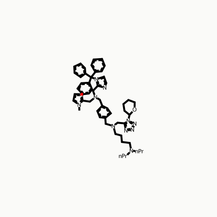 CCCN(CCC)CCCCN(Cc1ccc(CN(Cc2nccn2C)Cc2nccn2C(c2ccccc2)(c2ccccc2)c2ccccc2)cc1)Cc1nnnn1C1CCCCO1